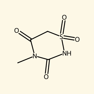 CN1C(=O)CS(=O)(=O)NC1=O